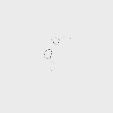 CCNc1n[nH]c(-c2ccnc(NCC(F)(F)F)c2)n1